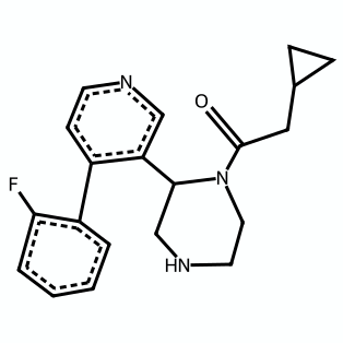 O=C(CC1CC1)N1CCNCC1c1cnccc1-c1ccccc1F